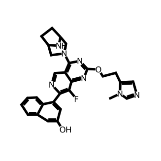 Cn1cncc1CCOc1nc(N2CC3CCC(C2)N3)c2cnc(-c3cc(O)cc4ccccc34)c(F)c2n1